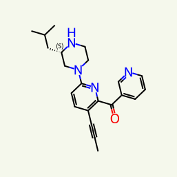 CC#Cc1ccc(N2CCN[C@@H](CC(C)C)C2)nc1C(=O)c1cccnc1